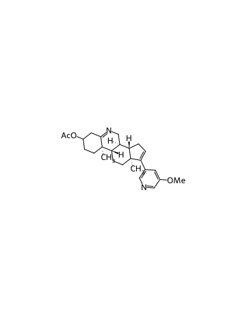 COc1cncc(C2=CC[C@H]3[C@@H]4CN=C5CC(OC(C)=O)CC[C@]5(C)[C@H]4CC[C@]23C)c1